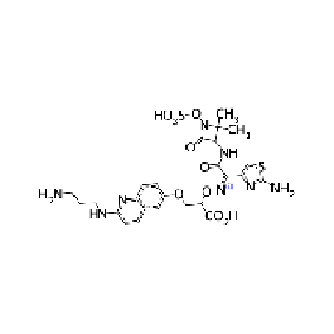 CC1(C)C(NC(=O)/C(=N\OC(COc2ccc3nc(NCCCN)ccc3c2)C(=O)O)c2csc(N)n2)C(=O)N1OS(=O)(=O)O